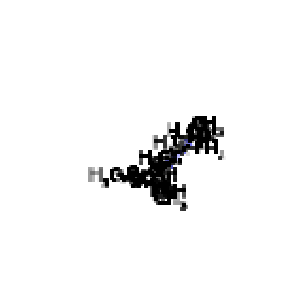 CCCC(=O)Oc1ccc(NC(=O)/C=C(C)/C=C/C=C(C)/C=C/C2=C(C)CCCC2(C)C)c(C(CC)C(=O)O)c1